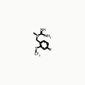 CN(Cc1ccc(F)cc1SC(F)(F)F)C(=N)N